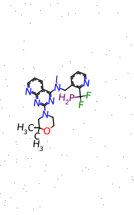 CC1(C)CN(c2nc(N(I)Cc3cccnc3C(F)(F)P)c3cccnc3n2)CCO1